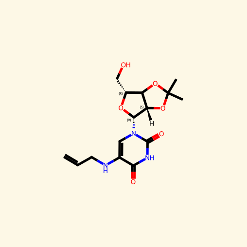 C=CCNc1cn([C@@H]2O[C@H](CO)C3OC(C)(C)O[C@@H]32)c(=O)[nH]c1=O